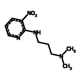 CN(C)CCCNc1ncccc1[N+](=O)[O-]